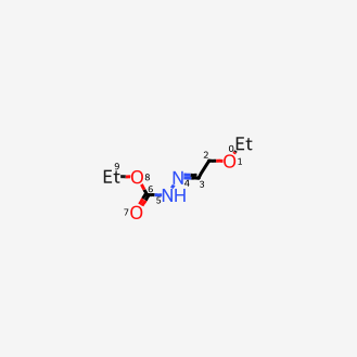 CCOCC=NNC(=O)OCC